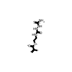 C=C(C)C(=O)OCCNC(=O)NNC(N)=S